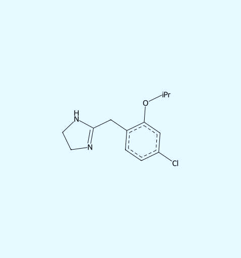 CC(C)Oc1cc(Cl)ccc1CC1=NCCN1